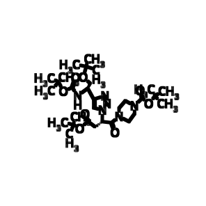 CC(C)(C)OC[C@H](NC(=O)OC(C)(C)C)c1cn([C@@H](CC(=O)OC(C)(C)C)C(=O)N2CCN(C(=O)OC(C)(C)C)CC2)nn1